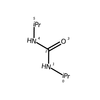 CC(C)NC(=O)NC(C)C